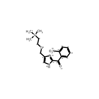 C[Si](C)(C)CCOCc1c[nH]c(C(=O)c2ccccc2[N+](=O)[O-])n1